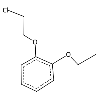 CCOc1ccccc1OCCCl